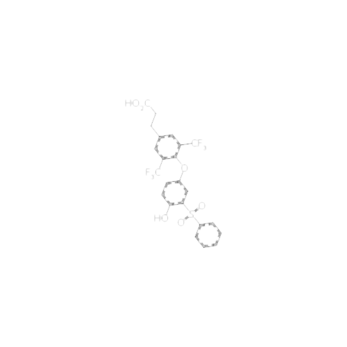 O=C(O)CCc1cc(C(F)(F)F)c(Oc2ccc(O)c(S(=O)(=O)c3ccccc3)c2)c(C(F)(F)F)c1